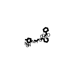 Cc1ccc(NCCCOC(=O)C2CCCCN2C(=O)C(=O)C2CCCCC2)c2nonc12